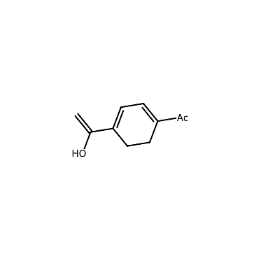 C=C(O)C1=CC=C(C(C)=O)CC1